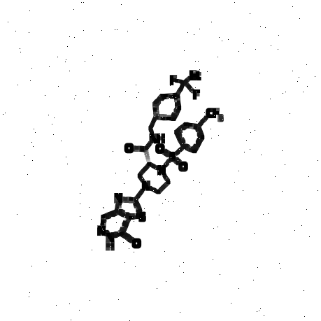 CCC(F)(F)c1ccc(CNC(=O)[C@H]2CN(c3nc4cn[nH]c(=O)c4s3)CCN2S(=O)(=O)c2ccc(C(F)(F)F)cc2)cc1